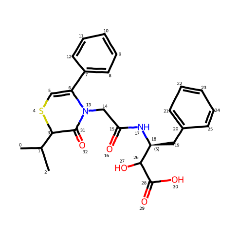 CC(C)C1SC=C(c2ccccc2)N(CC(=O)N[C@@H](Cc2ccccc2)C(O)C(=O)O)C1=O